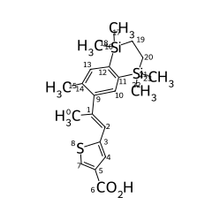 C/C(=C\c1cc(C(=O)O)cs1)c1cc2c(cc1C)[Si](C)(C)CC[Si]2(C)C